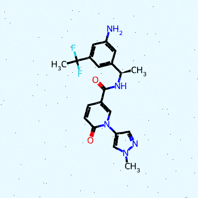 C[C@@H](NC(=O)c1ccc(=O)n(-c2cnn(C)c2)c1)c1cc(N)cc(C(C)(F)F)c1